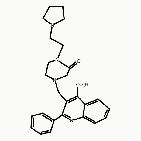 O=C(O)c1c(CN2CCN(CCN3CCCC3)C(=O)C2)c(-c2ccccc2)nc2ccccc12